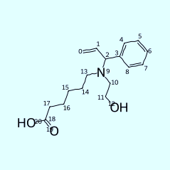 C=CC(c1ccccc1)N(CCO)CCCCCC(=O)O